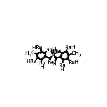 Cc1[c]([RaH])[c]([RaH])c(-c2nnc(-c3[c]([RaH])[c]([RaH])c(C)[c]([RaH])[c]3[RaH])[n]2[RaH])[c]([RaH])[c]1[RaH]